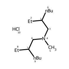 CCCCC(CC)CN(C)CC(CC)CCCC.Cl